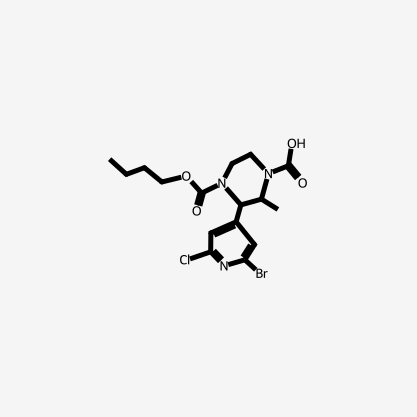 CCCCOC(=O)N1CCN(C(=O)O)C(C)C1c1cc(Cl)nc(Br)c1